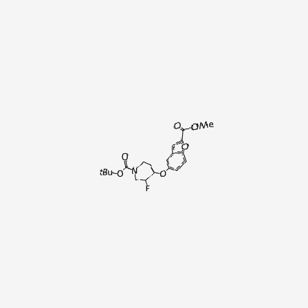 COC(=O)c1cc2cc(OC3CCN(C(=O)OC(C)(C)C)CC3F)ccc2o1